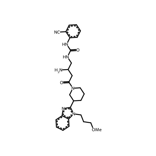 COCCCn1c(C2CCCN(C(=O)CC(N)CNC(=O)Nc3ccccc3C#N)C2)nc2ccccc21